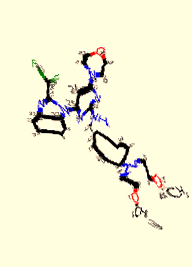 COCCN(CCOC)[C@H]1CC[C@H](CNc2nc(N3CCOCC3)cc(-n3c(C(F)F)nc4ccccc43)n2)CC1